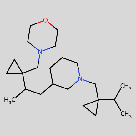 CC(C)C1(CN2CCCC(CC(C)C3(CN4CCOCC4)CC3)C2)CC1